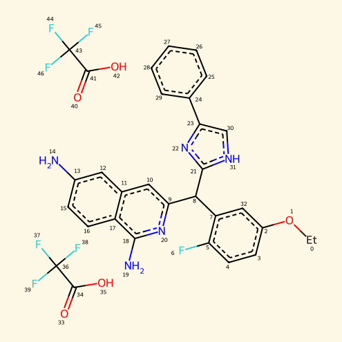 CCOc1ccc(F)c(C(c2cc3cc(N)ccc3c(N)n2)c2nc(-c3ccccc3)c[nH]2)c1.O=C(O)C(F)(F)F.O=C(O)C(F)(F)F